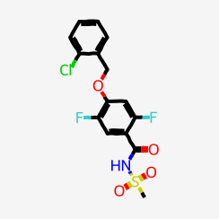 CS(=O)(=O)NC(=O)c1cc(F)c(OCc2ccccc2Cl)cc1F